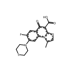 Cc1csc2c(C(=O)O)c(=O)c3cc(F)c(N4CCSCC4)cc3n12